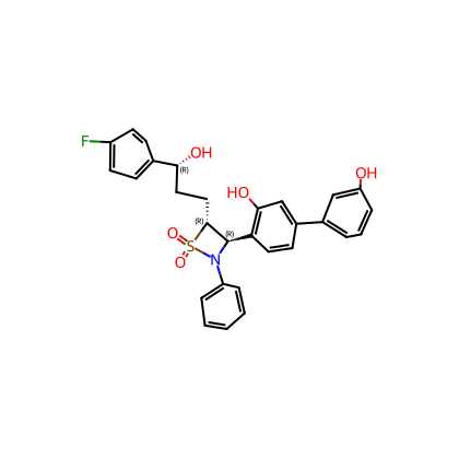 O=S1(=O)[C@H](CC[C@@H](O)c2ccc(F)cc2)[C@@H](c2ccc(-c3cccc(O)c3)cc2O)N1c1ccccc1